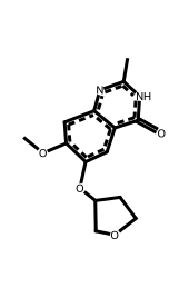 COc1cc2nc(C)[nH]c(=O)c2cc1OC1CCOC1